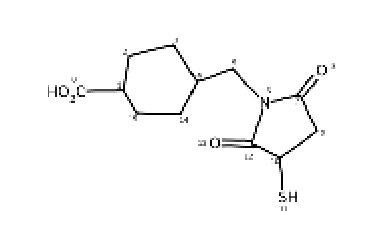 O=C(O)C1CCC(CN2C(=O)CC(S)C2=O)CC1